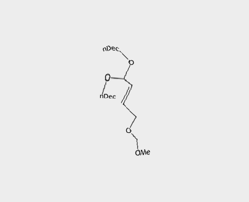 CCCCCCCCCCOC(C=CCOCOC)OCCCCCCCCCC